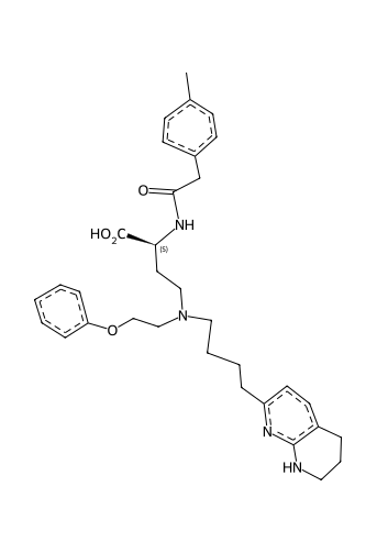 Cc1ccc(CC(=O)N[C@@H](CCN(CCCCc2ccc3c(n2)NCCC3)CCOc2ccccc2)C(=O)O)cc1